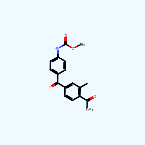 CNC(=O)c1ccc(C(=O)c2ccc(NC(=O)OC(C)(C)C)cc2)cc1C